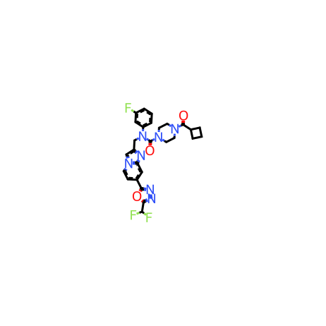 O=C(C1CCC1)N1CCN(C(=O)N(Cc2cn3ccc(-c4nnc(C(F)F)o4)cc3n2)c2cccc(F)c2)CC1